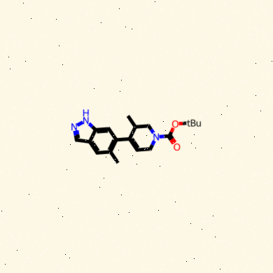 Cc1cc2cn[nH]c2cc1C1=CCN(C(=O)OC(C)(C)C)CC1C